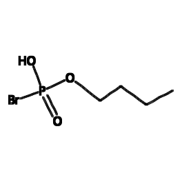 CCCCOP(=O)(O)Br